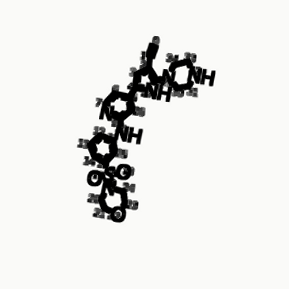 C#Cc1cc(-c2ccnc(Nc3cccc(S(=O)(=O)N4CCOCC4)c3)c2)[nH]c1N1CCNCC1